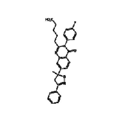 CC1(c2ccc3c(=O)n(-c4ccc(F)cc4)c(CCCCC(=O)O)nc3c2)CC(c2ccccc2)=NO1